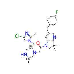 Cc1nc(Cl)cn1C[C@H]1CN[C@H](C)CN1CC(=O)N1CC(C)(C)c2ncc(CC3=CCC(F)C=C3)cc21